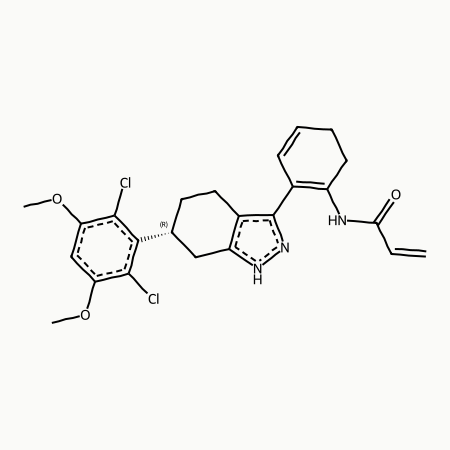 C=CC(=O)NC1=C(c2n[nH]c3c2CC[C@@H](c2c(Cl)c(OC)cc(OC)c2Cl)C3)C=CCC1